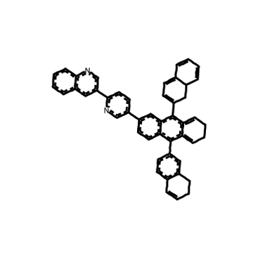 C1=CC2=CC=C(c3c4c(c(-c5ccc6c(c5)CCC=C6)c5ccc(-c6ccc(-c7cnc8ccccc8c7)nc6)cc35)=CCCC=4)CC2C=C1